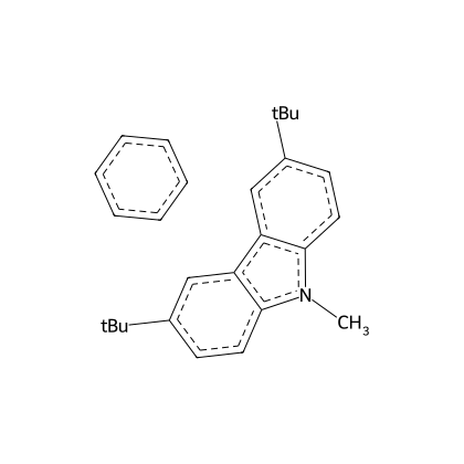 Cn1c2ccc(C(C)(C)C)cc2c2cc(C(C)(C)C)ccc21.c1ccccc1